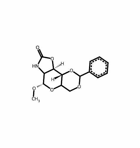 CO[C@H]1OC2COC(c3ccccc3)O[C@H]2[C@@H]2OC(=O)NC12